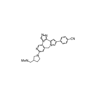 CNCC1CCN(c2cc3c(cn2)-n2cnnc2-c2cc(-c4ccc(C#N)cc4)cn2C3)C1